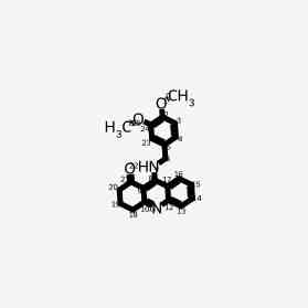 COc1ccc(CNc2c3c(nc4ccccc24)CCCC3=O)cc1OC